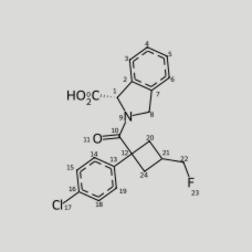 O=C(O)[C@@H]1c2ccccc2CN1C(=O)C1(c2ccc(Cl)cc2)CC(CF)C1